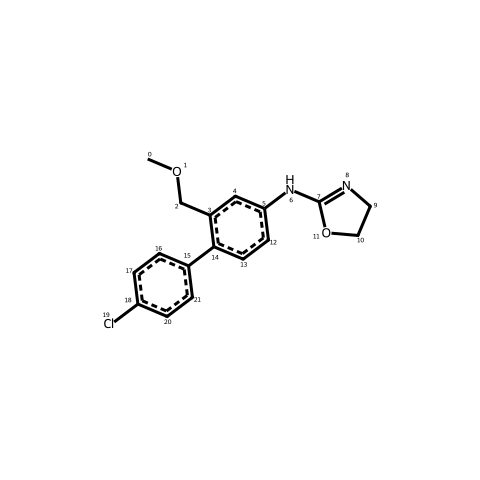 COCc1cc(NC2=NCCO2)ccc1-c1ccc(Cl)cc1